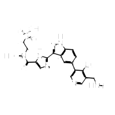 CCNCc1cncc(-c2ccc3[nH]nc(-c4ncc(C(=O)N(C)CCS(C)(=O)=O)[nH]4)c3c2)c1CC